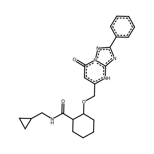 O=C(NCC1CC1)C1CCCCC1OCc1cc(=O)n2nc(-c3ccccc3)nc2[nH]1